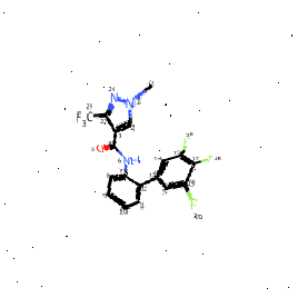 Cn1cc(C(=O)Nc2ccccc2-c2cc(F)c(F)c(F)c2)c(C(F)(F)F)n1